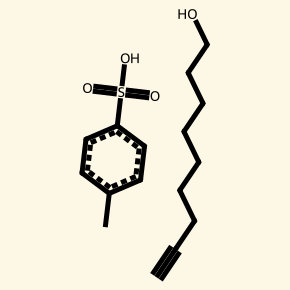 C#CCCCCCCCO.Cc1ccc(S(=O)(=O)O)cc1